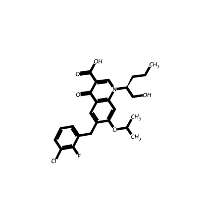 CCC[C@@H](CO)n1cc(C(=O)O)c(=O)c2cc(Cc3cccc(Cl)c3F)c(OC(C)C)cc21